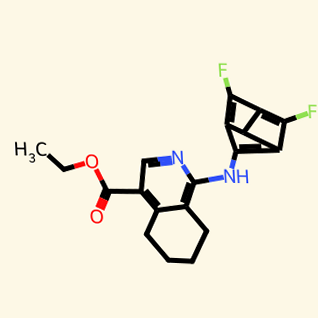 CCOC(=O)c1cnc(NC2=C3C(F)=C4C(F)=C2C43)c2c1CCCC2